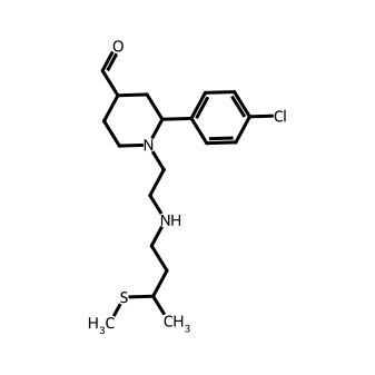 CSC(C)CCNCCN1CCC(C=O)CC1c1ccc(Cl)cc1